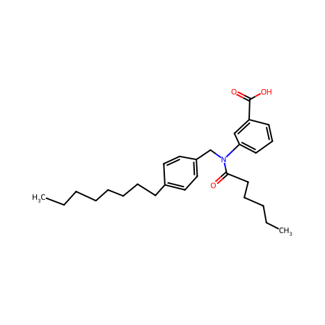 CCCCCCCCc1ccc(CN(C(=O)CCCCC)c2cccc(C(=O)O)c2)cc1